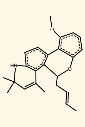 CC=CCC1Oc2cccc(OC)c2-c2ccc3c(c21)C(C)=CC(C)(C)N3